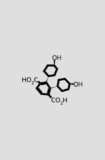 O=C(O)c1ccc(C(=O)O)c([C@H]2CC[C@H](O)CC2)c1[C@H]1CC[C@H](O)CC1